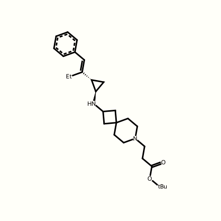 CC/C(=C\c1ccccc1)[C@@H]1C[C@H]1NC1CC2(CCN(CCC(=O)OC(C)(C)C)CC2)C1